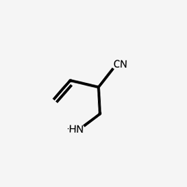 C=CC(C#N)C[NH]